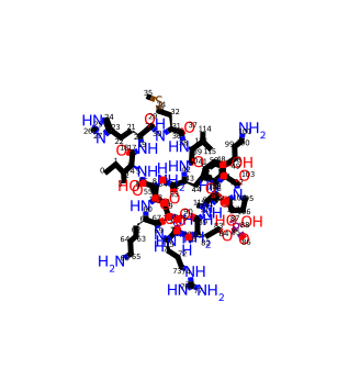 CCC(C)[C@H](NC(=O)[C@@H](N)CCCNC(=N)N)C(=O)N[C@H](CCc1c[nH]cn1)C(=O)N[C@@H](CCSC)C(=O)N[C@H](C(=O)N[C@@H](Cc1ccc(O)cc1)C(=O)N[C@@H](CO)C(=O)N[C@@H](CCCCN)C(=O)N[C@H](CCCNC(=N)N)C(=O)N[C@@H](CCOP(=O)(O)O)C(=O)NCC(=O)N[C@@H](CCCCN)C(=O)N1CCC[C@@H]1C(=O)NC)C(C)C